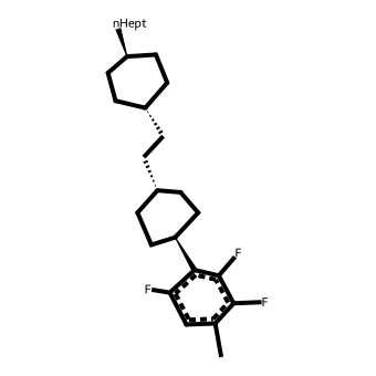 CCCCCCC[C@H]1CC[C@H](CC[C@H]2CC[C@H](c3c(F)cc(C)c(F)c3F)CC2)CC1